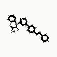 C[C@@H](C(=O)O)N(c1ccccc1)c1cc(-c2ccc(/C=C/c3ccccc3)cc2)ncn1